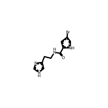 O=C(NCCc1c[nH]cn1)c1cc(Br)c[nH]1